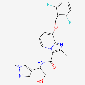 Cc1nc2c(OCc3c(F)cccc3F)cccn2c1C(=O)NC(CO)c1cnn(C)c1